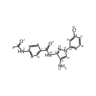 CC(=O)Nc1ccc(C(=O)Nc2nn(-c3cccc(Cl)c3)cc2N)cc1